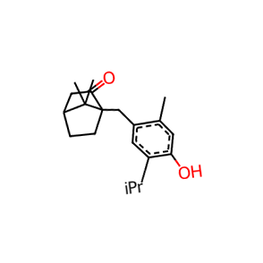 Cc1cc(O)c(C(C)C)cc1CC12CCC(CC1=O)C2(C)C